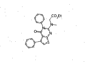 CCOC(=O)CN(C)c1nc2scc(-c3ccccc3)c2c(=O)n1-c1ccccc1